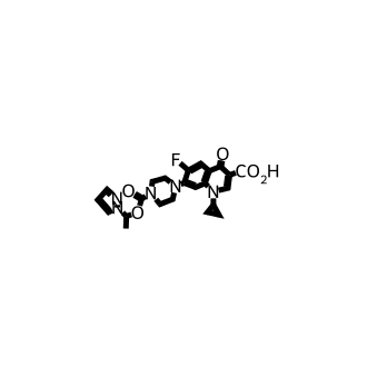 CC(OC(=O)N1CCN(c2cc3c(cc2F)c(=O)c(C(=O)O)cn3C2CC2)CC1)n1cccn1